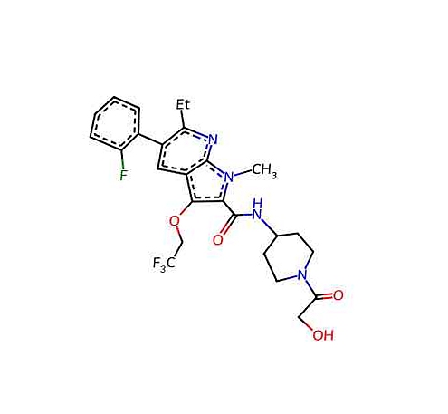 CCc1nc2c(cc1-c1ccccc1F)c(OCC(F)(F)F)c(C(=O)NC1CCN(C(=O)CO)CC1)n2C